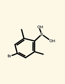 Cc1cc(Br)cc(C)c1B(O)O